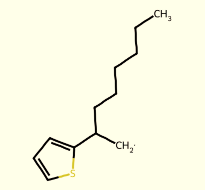 [CH2]C(CCCCCC)c1cccs1